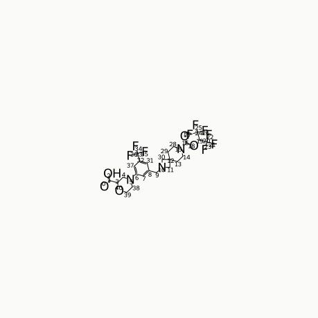 O=C(O)C1CN(c2cc(CN3CC4(CCN(C(=O)OC(C(F)(F)F)C(F)(F)F)CC4)C3)cc(C(F)(F)F)c2)CCO1